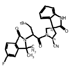 CC(C)(C)CC(C(=O)N1C[C@]2(C[C@H]1C#N)C(=O)Nc1ccccc12)N1C(=O)c2ccc(F)cc2C1(C)C